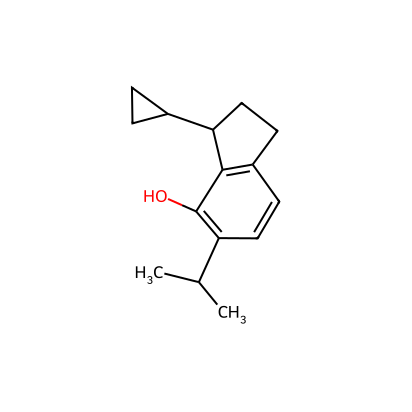 CC(C)c1ccc2c(c1O)C(C1CC1)CC2